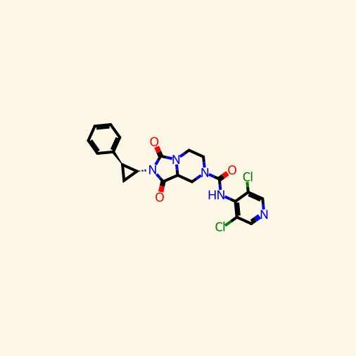 O=C(Nc1c(Cl)cncc1Cl)N1CCN2C(=O)N([C@@H]3C[C@H]3c3ccccc3)C(=O)C2C1